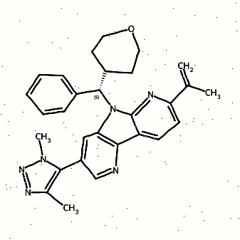 C=C(C)c1ccc2c3ncc(-c4c(C)nnn4C)cc3n([C@H](c3ccccc3)C3CCOCC3)c2n1